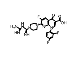 N=C(N)NC(=N)N1CCN(c2nc3c(cc2F)c(=O)c(C(=O)O)cn3-c2ccc(F)cc2F)CC1